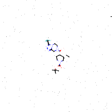 CC[C@@H]1CN(C(=O)OC(C)(C)C)CC[C@@H]1C(=O)N1CCn2c(nnc2C(F)(F)F)C1